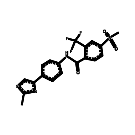 Cc1nc(-c2ccc(NC(=O)c3ccc(S(C)(=O)=O)cc3C(F)(F)F)cc2)cs1